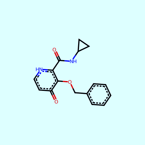 O=C(NC1CC1)c1[nH]ccc(=O)c1OCc1ccccc1